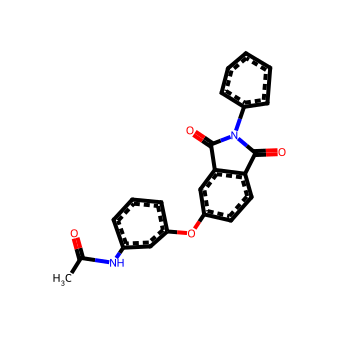 CC(=O)Nc1cccc(Oc2ccc3c(c2)C(=O)N(c2ccccc2)C3=O)c1